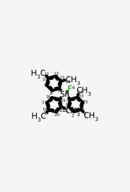 Cc1cc[c]([Sn]([F])([c]2ccc(C)cc2C)[c]2ccc(C)cc2C)c(C)c1